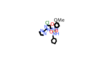 COc1ccccc1Oc1c(Cl)nc(-c2ncccn2)nc1NS(=O)(=O)NCC1CCCCC1